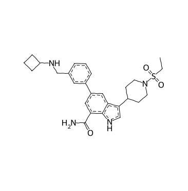 CCS(=O)(=O)N1CCC(c2c[nH]c3c(C(N)=O)cc(-c4cccc(CNC5CCC5)c4)cc23)CC1